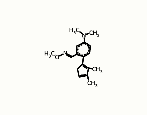 CON=Cc1cc(N(C)C)ccc1C1=C(C)C(C)=CC1